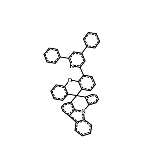 c1ccc(-c2cc(-c3ccccc3)nc(-c3cccc4c3Oc3ccccc3C43c4ccccc4-n4c5ccccc5c5cccc3c54)c2)cc1